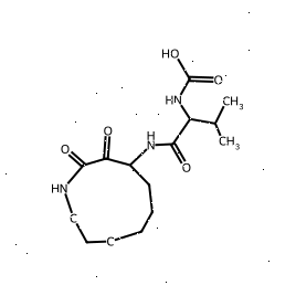 CC(C)C(NC(=O)O)C(=O)NC1CCCCCCNC(=O)C1=O